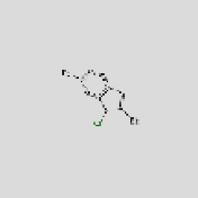 CCC1=Cc2ccc(CC)cc2C1Cl